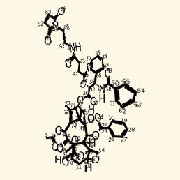 CC(=O)OC1C(=O)C2(C)[C@@H](O)C[C@H]3OC[C@@]3(OC(C)=O)[C@H]2[C@H](OC(=O)c2ccccc2)[C@]2(O)C[C@H](OC(=O)[C@H](OC(=O)CCC(=O)NCCN3C(=O)C=CC3=O)[C@@H](NC(=O)c3ccccc3)c3ccccc3)C(C)=C1C2(C)C